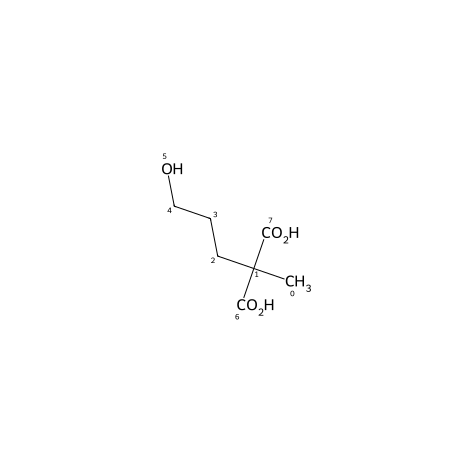 CC(CCCO)(C(=O)O)C(=O)O